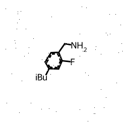 CCC(C)c1ccc(CN)c(F)c1